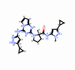 Cn1nc(C2CC2)cc1NC(=O)[C@]1(C)CCCN1c1nc(Nc2cc(C3CC3)[nH]n2)n2cccc2n1